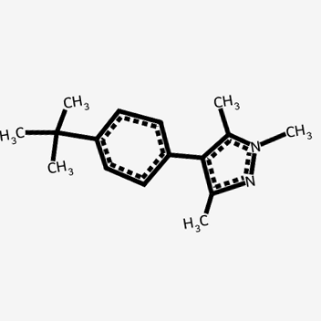 Cc1nn(C)c(C)c1-c1ccc(C(C)(C)C)cc1